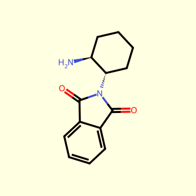 N[C@H]1CCCC[C@@H]1N1C(=O)c2ccccc2C1=O